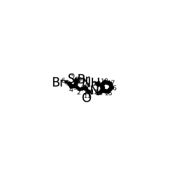 N[C@@H](Cc1cc(Br)sc1Br)C(=O)N1Cc2ccccc2C1